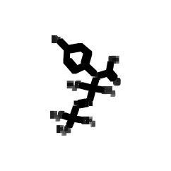 CC(C)(C)N=NC(C)(C)N(C(=O)S)c1ccc(Br)cc1